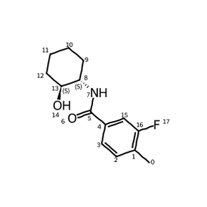 Cc1ccc(C(=O)N[C@H]2CCCC[C@@H]2O)cc1F